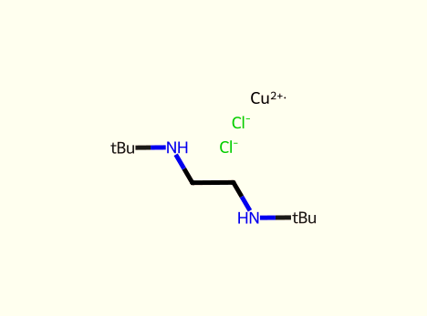 CC(C)(C)NCCNC(C)(C)C.[Cl-].[Cl-].[Cu+2]